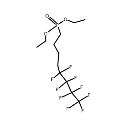 CCOP(=O)(CCCCC(F)(F)C(F)(F)C(F)(F)C(F)(F)F)OCC